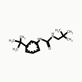 CC(C)(C)CNC(=O)Nc1cccc(C(C)(C)C)c1